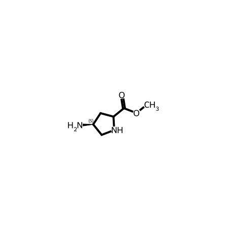 COC(=O)C1C[C@H](N)CN1